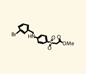 COC(=O)CS(=O)(=O)c1ccc(NCc2cccc(Br)c2)cc1